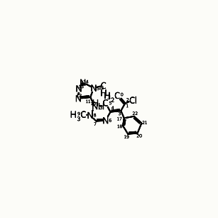 C=C(Cl)/C(=C(C)/N=C\N(C)Nc1nnnn1C)c1ccccc1